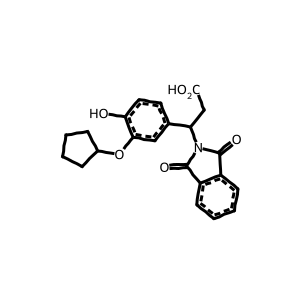 O=C(O)CC(c1ccc(O)c(OC2CCCC2)c1)N1C(=O)c2ccccc2C1=O